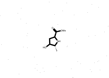 COC(=O)C1CC(O)[C@@H](C)N1